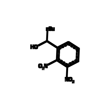 CCCCC(O)c1cccc([N+](=O)[O-])c1[N+](=O)[O-]